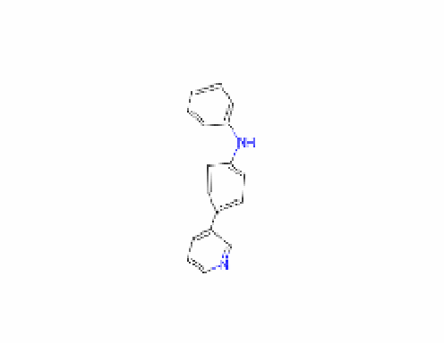 c1ccc(Nc2ccc(-c3cccnc3)cc2)cc1